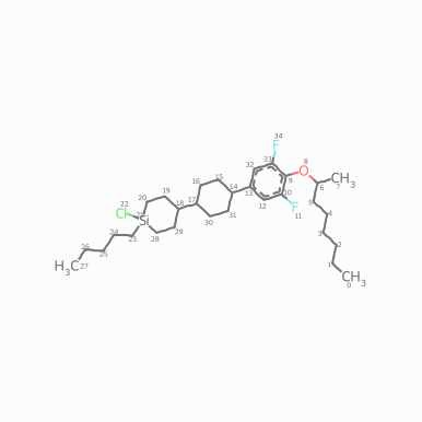 CCCCCCC(C)Oc1c(F)cc(C2CCC(C3CC[Si](Cl)(CCCCC)CC3)CC2)cc1F